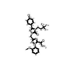 CSc1ccccc1-n1nc(Cn2nc(-c3ccc(Cl)cc3)n(CCC(F)(F)F)c2=O)nc1C(N)=O